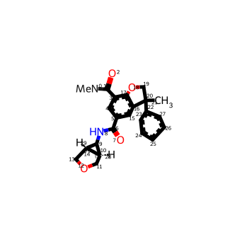 CNC(=O)c1cc(C(=O)NC2[C@H]3COC[C@@H]23)cc2c1OCC2(C)c1ccccc1